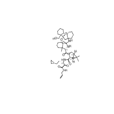 C=CCNC(=O)C(=O)[C@H](CCC1CC1)NC(=O)[C@@H]1[C@@H]2[C@H](CN1C(=O)[C@@H](NC(=O)NC1(CS(=O)(=O)C3(CO)CCCCC3)CCCCC1)C1(C)CCCCC1)C2(C)C